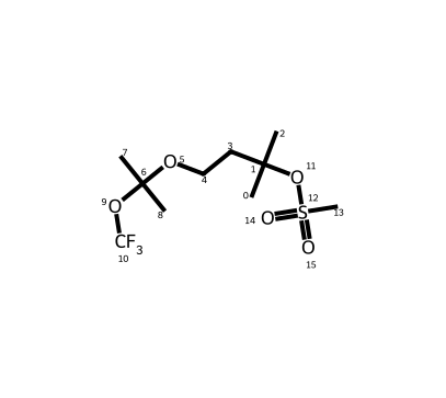 CC(C)(CCOC(C)(C)OC(F)(F)F)OS(C)(=O)=O